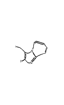 Fc1nc2ccccn2c1I